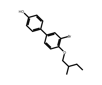 CCC(C)COc1ccc(-c2ccc(O)cc2)cc1Br